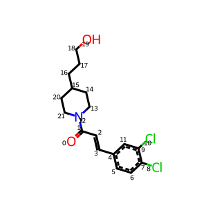 O=C(C=Cc1ccc(Cl)c(Cl)c1)N1CCC(CCCO)CC1